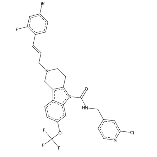 O=C(NCc1ccnc(Cl)c1)n1c2c(c3ccc(OC(F)(F)F)cc31)CN(CC=Cc1ccc(Br)cc1F)CC2